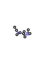 c1ccc(-c2ccc(-n3c4ccccc4c4cc(-c5cc6c7ccccc7n(-c7nc(-c8ccccc8)c8ccccc8n7)c6c6ccccc56)ccc43)cc2)cc1